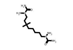 CC(C)(CCCCCN(N)C(N)=O)CCN(N)C(N)=O